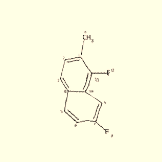 Cc1ccc2ccc(F)cc2c1F